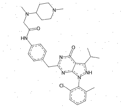 Cc1cccc(Cl)c1-n1[nH]c(C(C)C)c2c(=O)nc(Cc3ccc(NC(=O)CN(C)C4CCN(C)CC4)cc3)nc1-2